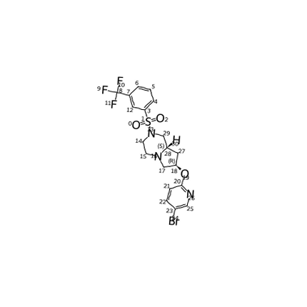 O=S(=O)(c1cccc(C(F)(F)F)c1)N1CCN2C[C@H](Oc3ccc(Br)cn3)C[C@H]2C1